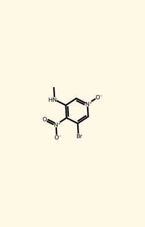 CNc1c[n+]([O-])cc(Br)c1[N+](=O)[O-]